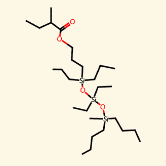 CCCC[Si](C)(CCCC)O[Si](CC)(CC)O[Si](CCC)(CCC)CCCOC(=O)C(C)CC